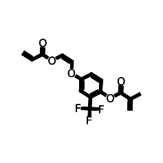 C=CC(=O)O/C=C\Oc1ccc(OC(=O)C(=C)C)c(C(F)(F)F)c1